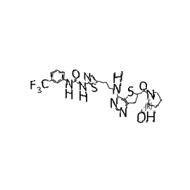 O=C(Nc1cccc(C(F)(F)F)c1)Nc1ncc(CCNc2ncnc3c2SC(C(=O)N2CCC[C@@H]2CO)C3)s1